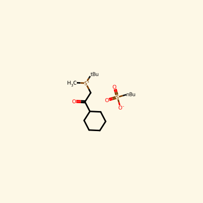 CCCCS(=O)(=O)[O-].C[S+](CC(=O)C1CCCCC1)C(C)(C)C